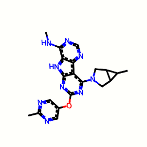 CNc1ncnc2c1[nH]c1nc(Oc3cnc(C)nc3)nc(N3CC4C(C)C4C3)c12